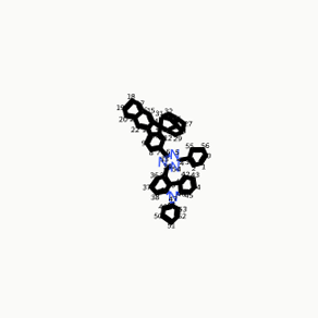 c1ccc(-c2nc(-c3ccc4c(c3)C3(c5cc6ccccc6cc5-4)C4CC5CC(C4)CC3C5)nc(-c3cccc4c3c3ccccc3n4-c3ccccc3)n2)cc1